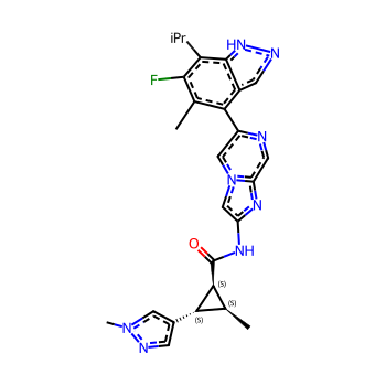 Cc1c(F)c(C(C)C)c2[nH]ncc2c1-c1cn2cc(NC(=O)[C@H]3[C@@H](C)[C@@H]3c3cnn(C)c3)nc2cn1